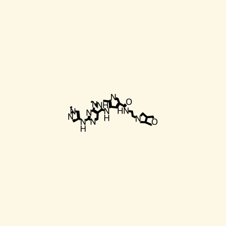 Cc1ncc(C(=O)NCCN2CC3COCC3C2)cc1NC1NN(C)c2nc(Nc3cnn(C)c3)ncc21